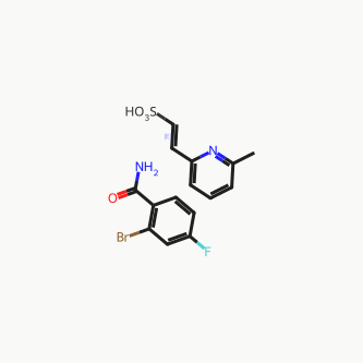 Cc1cccc(/C=C/S(=O)(=O)O)n1.NC(=O)c1ccc(F)cc1Br